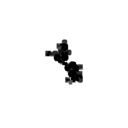 COc1ccc(CN(CCN2CCN(c3ccc(C(N)=O)c(NC4CCOCC4)c3-c3n[nH]c4ccccc34)CC2)c2ccc3c(c2)C(=O)N(C2CCC(=O)NC2=O)C3=O)cc1